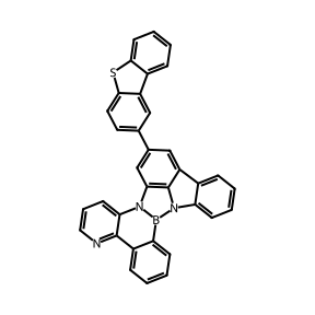 c1ccc2c(c1)B1N(c3cccnc3-2)c2cc(-c3ccc4sc5ccccc5c4c3)cc3c4ccccc4n1c23